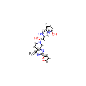 C[C@@H]1CCC(O)N(C[C@H](CC(O)N2CCc3c(nc(-c4ccco4)nc3C(F)(F)F)C2)NC(=O)O)C1